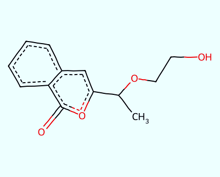 CC(OCCO)c1cc2ccccc2c(=O)o1